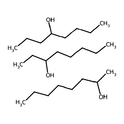 CCCCC(O)CCC.CCCCCC(O)CC.CCCCCCC(C)O